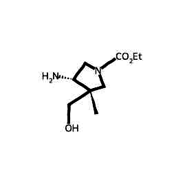 CCOC(=O)N1C[C@@H](N)[C@@](C)(CO)C1